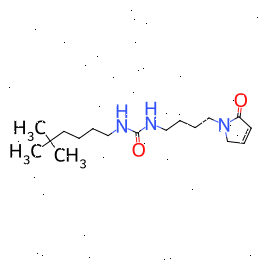 CC(C)(C)CCCCNC(=O)NCCCCN1CC=CC1=O